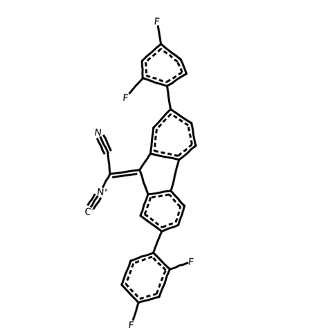 [C-]#[N+]C(C#N)=C1c2cc(-c3ccc(F)cc3F)ccc2-c2ccc(-c3ccc(F)cc3F)cc21